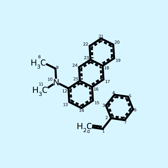 C=Cc1ccccc1.CCN(C)c1cccc2cc3ccccc3cc12